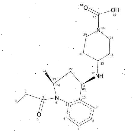 CCC(=O)N1c2ccccc2[C@H](NC2CCN(C(=O)O)CC2)C[C@@H]1C